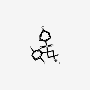 CC1(N)CC(c2cc(F)ccc2F)(S(=O)(=O)c2ccc(Cl)cc2)C1